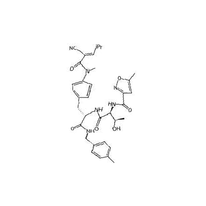 Cc1ccc(CNC(=O)[C@H](Cc2ccc(N(C)C(=O)C(C#N)=CC(C)C)cc2)NC(=O)[C@@H](NC(=O)c2cc(C)on2)[C@@H](C)O)cc1